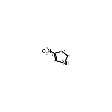 O=[N+]([O-])C1=CN[CH]S1